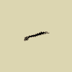 CC(C)(C)SCCCCCCCCCCCCCCCCOS(C)(=O)=O